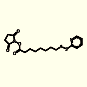 O=C(CCCCCCCSSc1ccccn1)ON1C(=O)CCC1=O